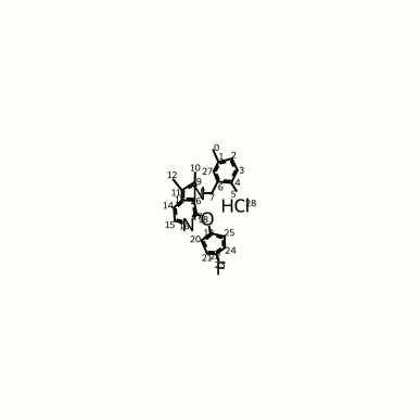 Cc1ccc(C)c(Cn2c(C)c(C)c3ccnc(Oc4ccc(F)cc4)c32)c1.Cl